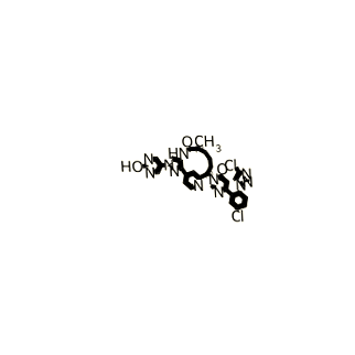 C[C@@H]1CCC[C@H](n2cnc(-c3cc(Cl)ccc3-n3cc(Cl)nn3)cc2=O)c2cc(ccn2)-c2nn(-c3cnc(O)nc3)cc2NC1=O